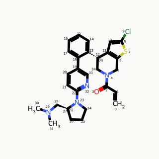 C=CC(=O)N1Cc2sc(Cl)cc2[C@@H](c2ccccc2-c2ccc(N3CCC[C@H]3CN(C)C)nc2)C1